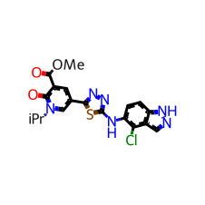 COC(=O)c1cc(-c2nnc(Nc3ccc4[nH]ncc4c3Cl)s2)cn(C(C)C)c1=O